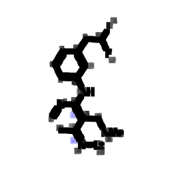 C=N/C(Nc1cccc(CC(F)F)c1)=C(CNC)\C(C)=N/CC